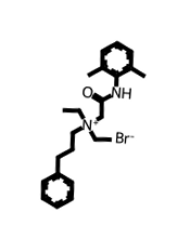 CC[N+](CC)(CCCc1ccccc1)CC(=O)Nc1c(C)cccc1C.[Br-]